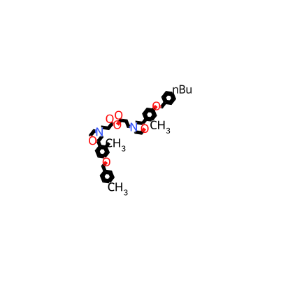 CCCCc1ccc(COc2ccc(C3CN(CCC(=O)OC(=O)CCN4CCOC(c5ccc(OCc6ccc(C)cc6)cc5C)C4)CCO3)c(C)c2)cc1